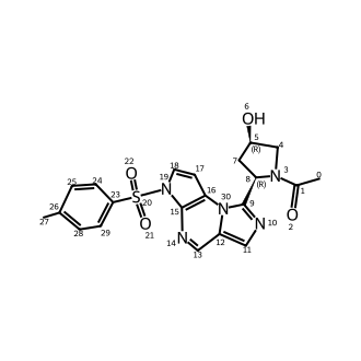 CC(=O)N1C[C@H](O)C[C@@H]1c1ncc2cnc3c(ccn3S(=O)(=O)c3ccc(C)cc3)n12